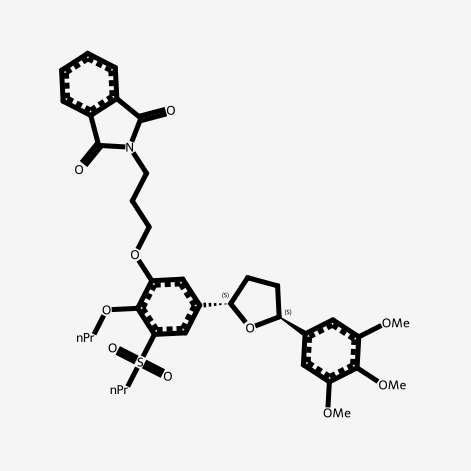 CCCOc1c(OCCCN2C(=O)c3ccccc3C2=O)cc([C@@H]2CC[C@@H](c3cc(OC)c(OC)c(OC)c3)O2)cc1S(=O)(=O)CCC